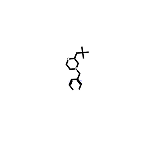 C/C=C\C(=C/C)CN1CCOC(CC(C)(C)C)C1